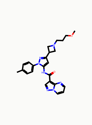 COCCCN1CC(c2cc(NC(=O)c3cnn4cccnc34)n(-c3ccc(C)cc3)n2)C1